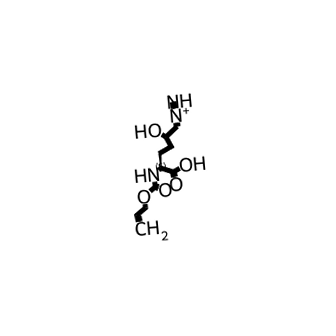 C=CCOC(=O)N[C@@H](CCC(O)C=[N+]=N)C(=O)O